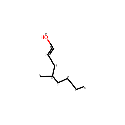 CCCCC(C)CC=CO